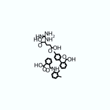 Cc1ccc(-c2ccccc2C(=O)O)cc1.Cc1cccc(NC(=O)c2ccccc2C(=O)O)c1C.N=C(N)NC(CCC(=O)O)C(=O)O